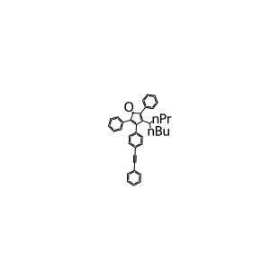 CCCCC(CCC)C1=C(c2ccccc2)C(=O)C(c2ccccc2)=C1c1ccc(C#Cc2ccccc2)cc1